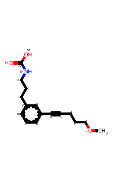 COCCCC#Cc1cccc(CCCNC(=O)O)c1